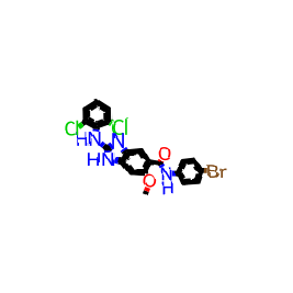 COc1cc2[nH]c(Nc3c(Cl)cccc3Cl)nc2cc1C(=O)Nc1ccc(Br)cc1